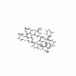 CC(C)c1cc(-c2cc3c4c(c2)N(c2ccccc2)c2ccccc2B4c2ccccc2N3c2ccccc2)cc(-c2c3ccccc3c(-c3ccccc3)c3ccccc23)c1